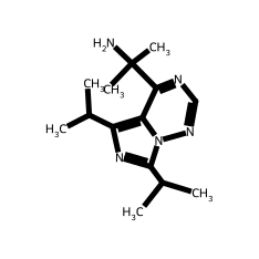 CC(C)c1nc(C(C)C)n2ncnc(C(C)(C)N)c12